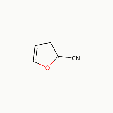 N#C[C]1CC=CO1